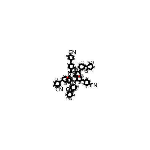 N#Cc1ccc(-c2ccc(-c3nc(-c4ccc(-c5cccc(C#N)c5)cc4)nc(-c4ccc(-c5ccc(C#N)cc5)cc4-n4c5ccccc5c5c6oc7ccccc7c6ccc54)n3)c(-n3c4ccccc4c4c5oc6ccccc6c5ccc43)c2)cc1